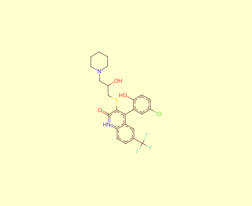 O=c1[nH]c2ccc(C(F)(F)F)cc2c(-c2cc(Cl)ccc2O)c1SCC(O)CN1CCCCC1